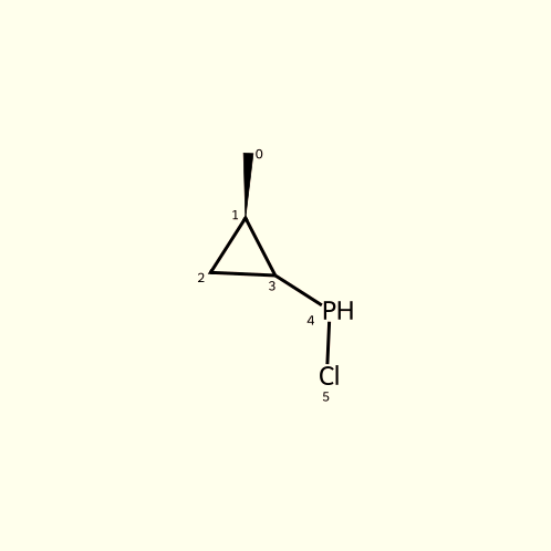 C[C@@H]1CC1PCl